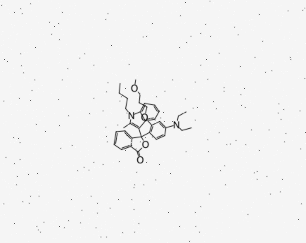 CCCCn1c(C)c(C2(c3ccc(N(CC)CC)cc3OCCCOC)OC(=O)c3ccccc32)c2ccccc21